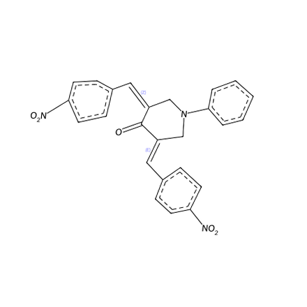 O=C1/C(=C\c2ccc([N+](=O)[O-])cc2)CN(c2ccccc2)C/C1=C\c1ccc([N+](=O)[O-])cc1